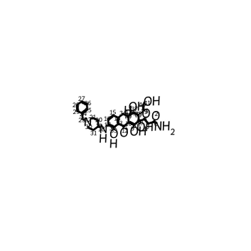 NC(=O)CC(=O)[C@@]1(O)C(O)=C2C(=O)c3c(ccc(NC4CCN(Cc5ccccc5)CC4)c3O)C[C@H]2[C@H](O)[C@H]1CCO